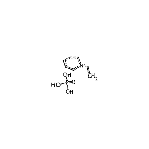 C=C[n+]1ccccc1.O=P(O)(O)O